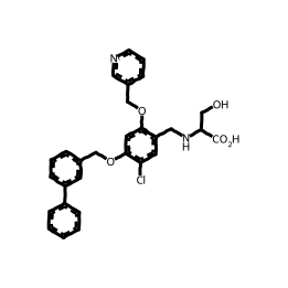 O=C(O)C(CO)NCc1cc(Cl)c(OCc2cccc(-c3ccccc3)c2)cc1OCc1cccnc1